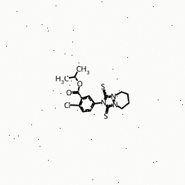 CC(C)OC(=O)c1cc(-n2c(=S)n3n(c2=S)CCCC3)ccc1Cl